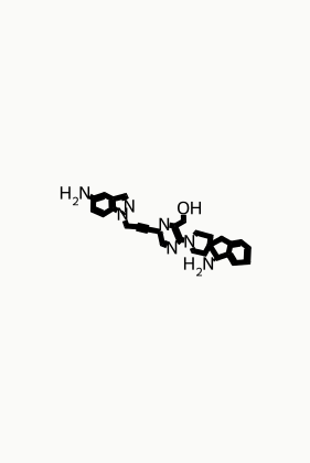 Nc1ccc2c(cnn2CC#Cc2cnc(N3CCC4(CC3)Cc3ccccc3[C@H]4N)c(CO)n2)c1